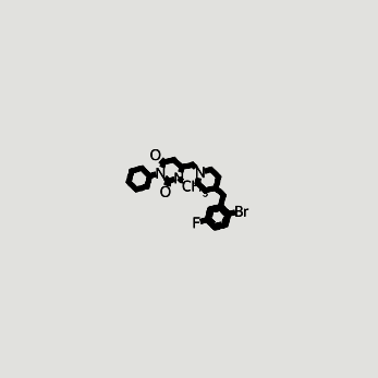 CN1C(=O)N(C2CCCCC2)C(=O)CC1CN1CCC(Cc2cc(F)ccc2Br)CC1